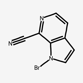 N#Cc1nccc2ccn(Br)c12